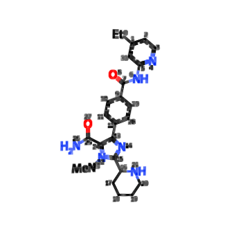 CCc1ccnc(NC(=O)c2ccc(-c3nc(C4CCCCN4)n(NC)c3C(N)=O)cc2)c1